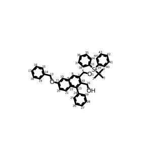 CC(C)(C)[Si](OCc1cc2cc(OCc3ccccc3)ccc2c(-c2ccccc2)c1CO)(c1ccccc1)c1ccccc1